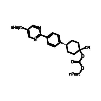 CCCCCCCc1cnc(-c2ccc([C@H]3CC[C@@](C#N)(OC(=O)OCCCCC)CC3)cc2)nc1